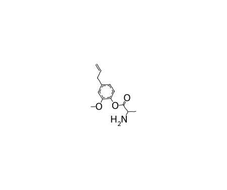 C=CCc1ccc(OC(=O)C(C)N)c(OC)c1